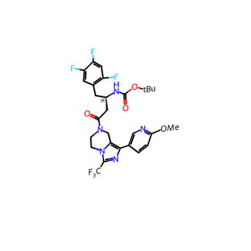 COc1ccc(-c2nc(C(F)(F)F)n3c2CN(C(=O)C[C@@H](Cc2cc(F)c(F)cc2F)NC(=O)OC(C)(C)C)CC3)cn1